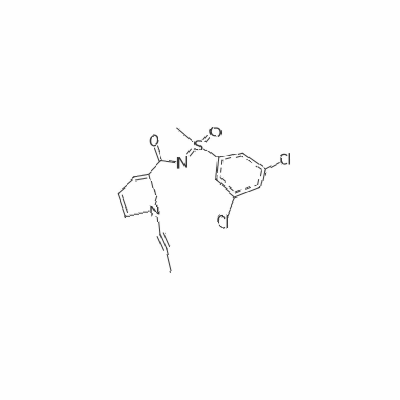 CC#CN1C=CC=C(C(=O)N=S(C)(=O)c2cc(Cl)cc(Cl)c2)C1